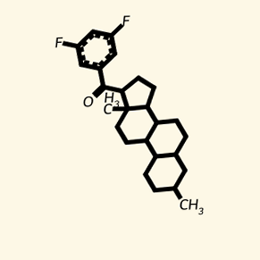 CC1CCC2C(CCC3C2CCC2(C)C(C(=O)c4cc(F)cc(F)c4)CCC32)C1